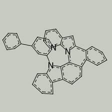 c1ccc(-c2ccnc(-n3c4ccccc4c4ccc5c6ccccc6c6cc7ccccc7n6c5c43)c2)cc1